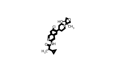 C[C@H](C(=O)Nc1cc2cc(C3CCN([C@]4(C)COC[C@@H]4O)CC3)c(Cl)cc2cn1)C1CC1